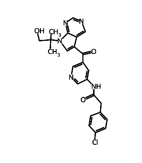 CC(C)(CO)n1cc(C(=O)c2cncc(NC(=O)Cc3ccc(Cl)cc3)c2)c2cncnc21